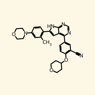 Cc1cc(N2CCOCC2)ccc1-c1cc2c(-c3ccc(OC4CCOCC4)c(C#N)c3)ncnc2[nH]1